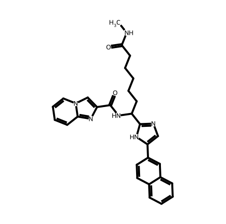 CNC(=O)CCCCCC(NC(=O)c1cn2ccccc2n1)c1ncc(-c2ccc3ccccc3c2)[nH]1